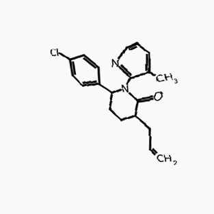 C=CCC1CCC(c2ccc(Cl)cc2)N(c2ncccc2C)C1=O